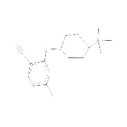 Cc1ccc(C#N)c(OC2CCC(C(C)(C)C)CC2)n1